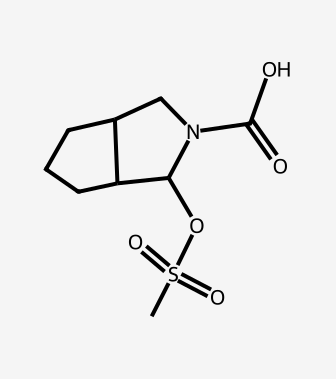 CS(=O)(=O)OC1C2CCCC2CN1C(=O)O